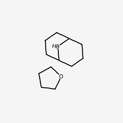 B1C2CCCC1CCC2.C1CCOC1